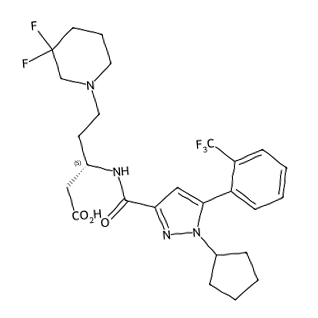 O=C(O)C[C@H](CCN1CCCC(F)(F)C1)NC(=O)c1cc(-c2ccccc2C(F)(F)F)n(C2CCCC2)n1